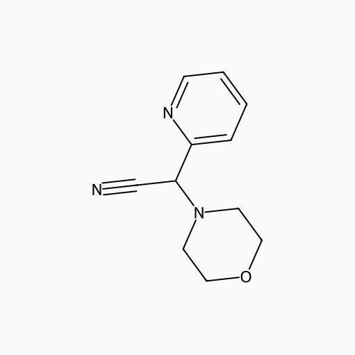 N#CC(c1ccccn1)N1CCOCC1